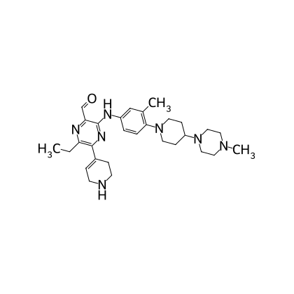 CCc1nc(C=O)c(Nc2ccc(N3CCC(N4CCN(C)CC4)CC3)c(C)c2)nc1C1=CCNCC1